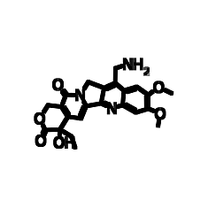 CCC1(O)C(=O)OCc2c1cc1n(c2=O)Cc2c-1nc1cc(OC)c(OC)cc1c2CN